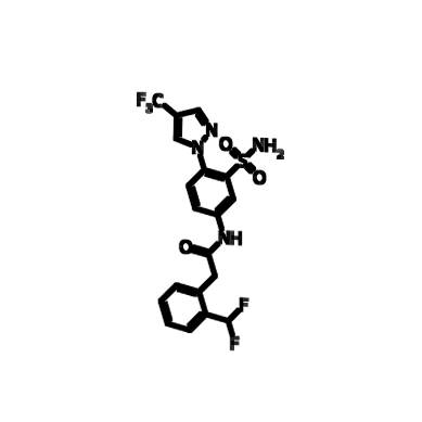 NS(=O)(=O)c1cc(NC(=O)Cc2ccccc2C(F)F)ccc1-n1cc(C(F)(F)F)cn1